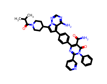 CC(C)C(=O)N1CCC(c2cc(-c3ccc(-c4nc(-c5cccnc5)n(-c5ccccc5)c(=O)c4C(N)=O)cc3)c3c(N)ncnn23)CC1